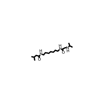 CC(C)CC(=O)NCCCCCCCNC(=O)CNC(C)C